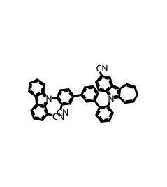 N#Cc1ccc2c(c1)c1c(n2-c2ccccc2-c2cccc(-c3ccc(-n4c5ccccc5c5cccc(C#N)c54)c(C#N)c3)c2)C=CCC=C1